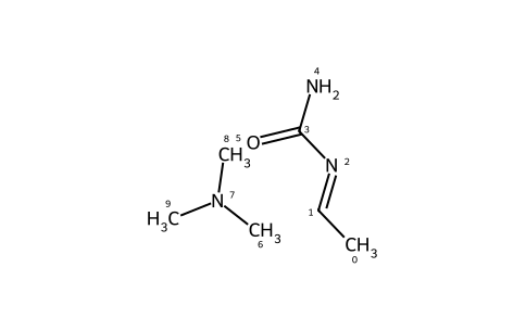 CC=NC(N)=O.CN(C)C